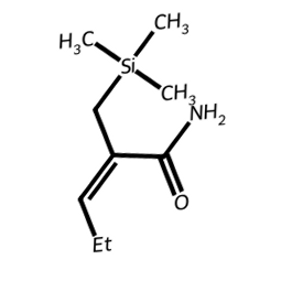 CCC=C(C[Si](C)(C)C)C(N)=O